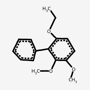 CCOc1ccc(OC)c(OC)c1-c1ccccc1